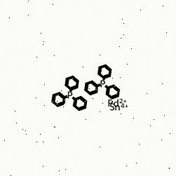 [Pd+2].[Sn+4].c1ccc(P(c2ccccc2)c2ccccc2)cc1.c1ccc(P(c2ccccc2)c2ccccc2)cc1